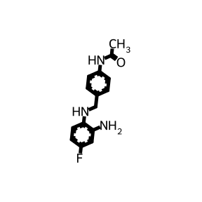 CC(=O)Nc1ccc(CNc2ccc(F)cc2N)cc1